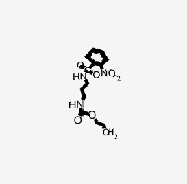 C=CCOC(=O)NCCCNS(=O)(=O)c1ccccc1[N+](=O)[O-]